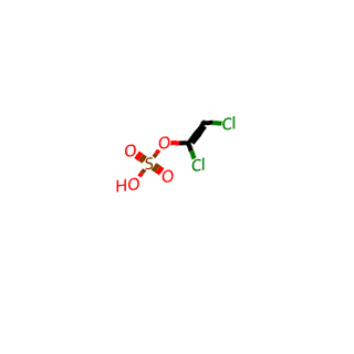 O=S(=O)(O)OC(Cl)=CCl